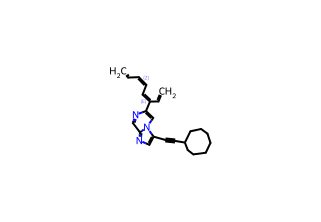 C=C/C=C\C=C(/C=C)c1cn2c(C#CC3CCCCCCC3)cnc2cn1